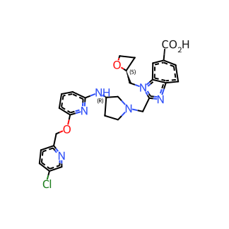 O=C(O)c1ccc2nc(CN3CC[C@@H](Nc4cccc(OCc5ccc(Cl)cn5)n4)C3)n(C[C@@H]3CCO3)c2c1